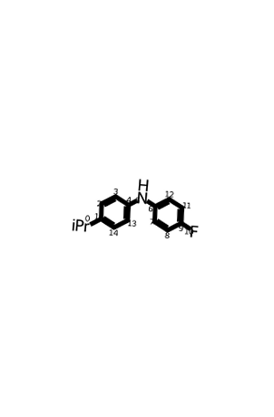 CC(C)c1ccc(Nc2ccc(F)cc2)cc1